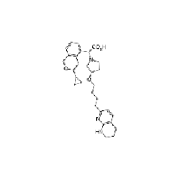 O=C(O)C(c1cccc2c1CC(C1CC1)OC2)N1CCC(OCCCCc2ccc3c(n2)NCCC3)C1